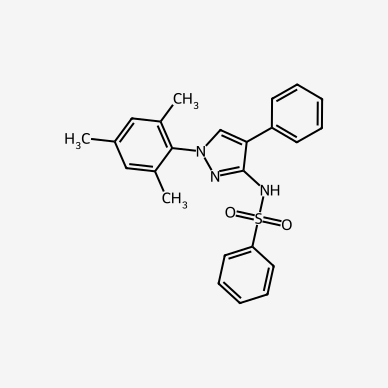 Cc1cc(C)c(-n2cc(-c3ccccc3)c(NS(=O)(=O)c3ccccc3)n2)c(C)c1